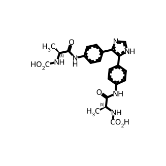 C[C@H](NC(=O)O)C(=O)Nc1ccc(-c2nc[nH]c2-c2ccc(NC(=O)[C@H](C)NC(=O)O)cc2)cc1